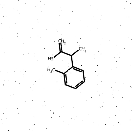 C=C(S)C(C)c1ccccc1C